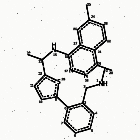 CNCc1ccccc1-c1ccc(C(C)Nc2nnc(C)c3ccc(C)cc23)s1